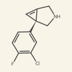 Fc1ccc([C@@]23C=C2CNC3)cc1Cl